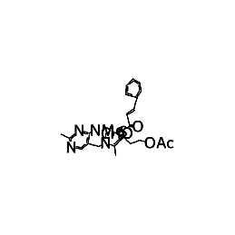 CNc1nc(C)ncc1CN(C=O)/C(C)=C(/CCOC(C)=O)SC(=O)/C=C/c1ccccc1